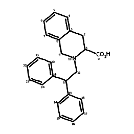 O=C(O)C1Cc2ccccc2CN1CC(c1ccccc1)c1ccccc1